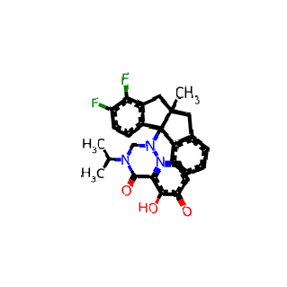 CC(C)N1CN(C23c4ccccc4CC2(C)Cc2c3ccc(F)c2F)n2ccc(=O)c(O)c2C1=O